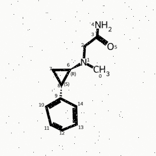 CN(CC(N)=O)[C@@H]1C[C@H]1c1ccccc1